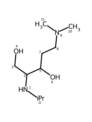 CC(C)NC(CO)C(O)CCN(C)C